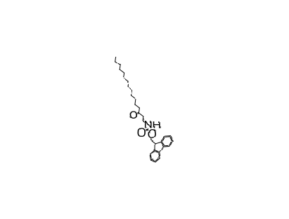 CCCCCCCCCCCCCC(=O)CCNC(=O)OCC1c2ccccc2-c2ccccc21